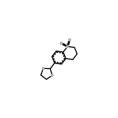 O=S1(=O)CCCc2cc(C3OCCO3)ccc21